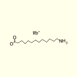 NCCCCCCCCCCCCC(=O)[O-].[Rb+]